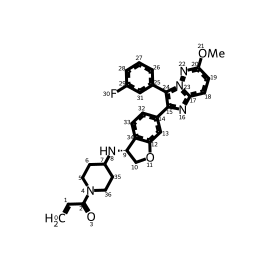 C=CC(=O)N1CCC(N[C@H]2COc3cc(-c4nc5ccc(OC)nn5c4-c4cccc(F)c4)ccc32)CC1